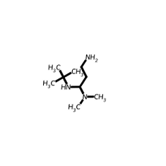 CN(C)C(CCN)NC(C)(C)C